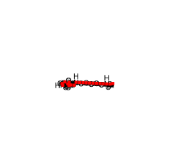 CC(C)(C)OC(=O)NCCOCCOCCOCCOCCOCCNc1ccc2c(c1)C(=O)N(C1CCC(=O)NC1=O)C2=O